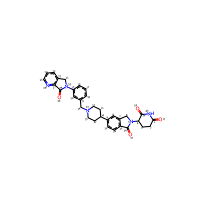 O=C1CCC(N2Cc3cc(C4CCN(Cc5cccc(N6Cc7cccnc7C6=O)c5)CC4)ccc3C2=O)C(=O)N1